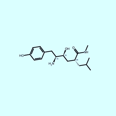 CNC(=O)[C@H](CC(C)C)C[C@H](O)[C@@H](N)Cc1ccc(O)cc1